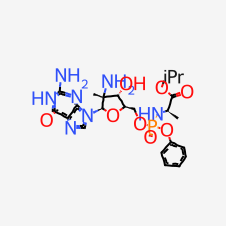 CC(C)OC(=O)[C@@H](C)N[P@](=O)(OC[C@H]1O[C@@H](n2cnc3c(=O)[nH]c(N)nc32)[C@](C)(N)[C@@H]1O)Oc1ccccc1